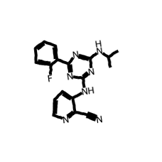 CC(C)Nc1nc(Nc2cccnc2C#N)nc(-c2ccccc2F)n1